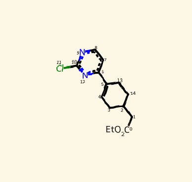 CCOC(=O)CC1CC=C(c2ccnc(Cl)n2)CC1